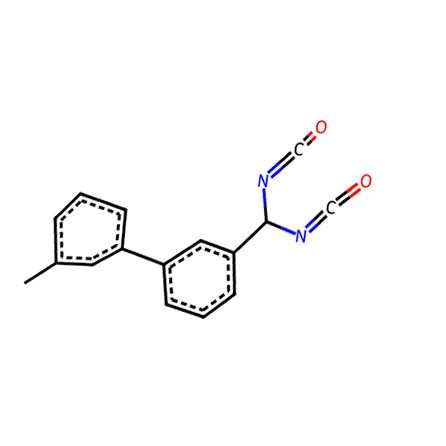 Cc1cccc(-c2cccc(C(N=C=O)N=C=O)c2)c1